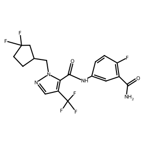 NC(=O)c1cc(NC(=O)c2c(C(F)(F)F)cnn2CC2CCC(F)(F)C2)ccc1F